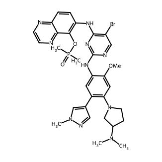 COc1cc(N2CCC(N(C)C)C2)c(-c2cnn(C)c2)cc1Nc1ncc(Br)c(Nc2ccc3nccnc3c2OP(C)(C)=O)n1